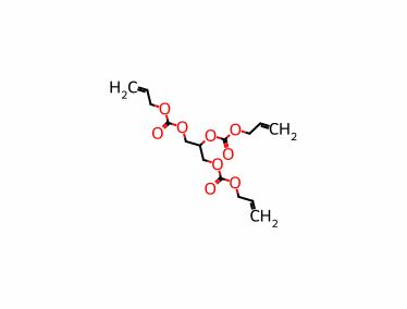 C=CCOC(=O)OCC(COC(=O)OCC=C)OC(=O)OCC=C